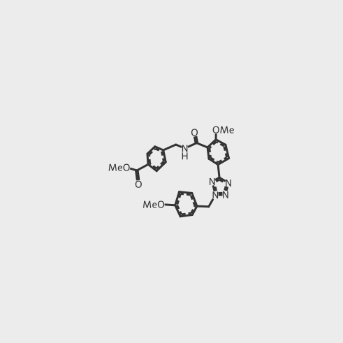 COC(=O)c1ccc(CNC(=O)c2cc(-c3nnn(Cc4ccc(OC)cc4)n3)ccc2OC)cc1